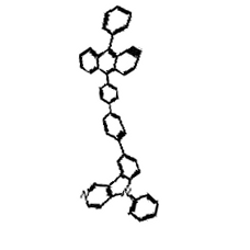 c1ccc2c(-c3ccc(-c4ccc(-c5ccc6c(c5)c5cnccc5n6-c5ccccc5)cc4)cc3)c3ccccc3c(-c3ccccc3)c2c#1